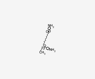 CCCCCC[C@H](CCCCCCCCCCC(=O)Oc1ccc(N)cc1)OC(=O)c1ccc(N)cc1